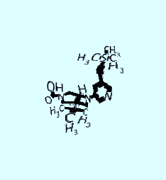 CC(C)(C)[C@]12CN(C(=O)O)C[C@H]1N(c1cncc(C#C[Si](C)(C)C)c1)C2